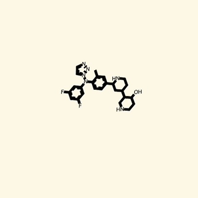 Cc1cc(C2CC(C3CNCCC3O)CCN2)ccc1N(c1cc(F)cc(F)c1)n1ccnn1